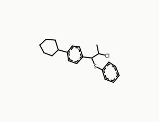 CC(Cl)[C](Sc1ccccc1)c1ccc(C2CCCCC2)cc1